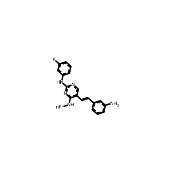 CCCNc1nc(Nc2cccc(F)c2)ncc1/C=C/c1cccc(N)c1